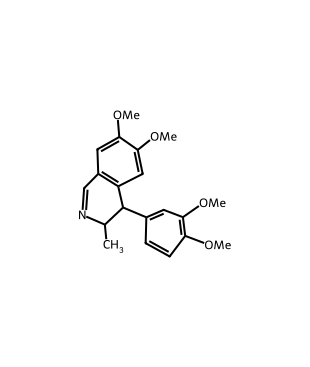 COc1ccc(C2c3cc(OC)c(OC)cc3C=NC2C)cc1OC